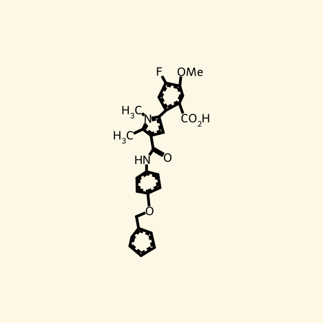 COc1cc(C(=O)O)c(-c2cc(C(=O)Nc3ccc(OCc4ccccc4)cc3)c(C)n2C)cc1F